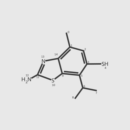 Cc1cc(S)c(C(C)C)c2sc(N)nc12